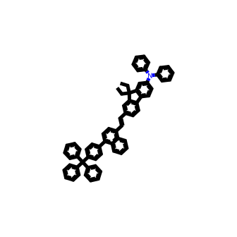 CCC1(CC)c2cc(/C=C/c3ccc(-c4ccc(C(c5ccccc5)(c5ccccc5)c5ccccc5)cc4)c4ccccc34)ccc2-c2ccc(N(c3ccccc3)c3ccccc3)cc21